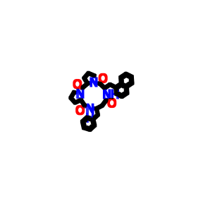 O=C1CC(Cc2ccccc2)NC(=O)C2CCCN2C(=O)C2CCCN2C(=O)C(Cc2cccc3ccccc23)N1